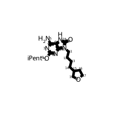 CCC[C@@H](C)Oc1nc(N)c2[nH]c(=O)n(CCCCC3CCOC3)c2n1